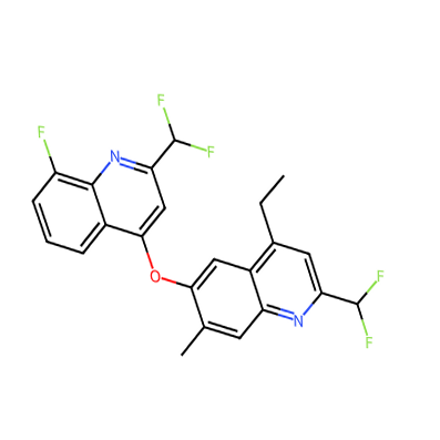 CCc1cc(C(F)F)nc2cc(C)c(Oc3cc(C(F)F)nc4c(F)cccc34)cc12